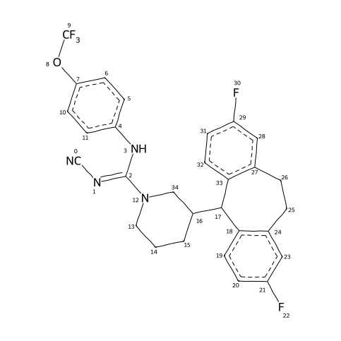 N#C/N=C(\Nc1ccc(OC(F)(F)F)cc1)N1CCCC(C2c3ccc(F)cc3CCc3cc(F)ccc32)C1